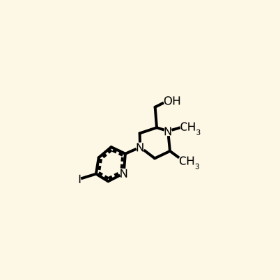 CC1CN(c2ccc(I)cn2)CC(CO)N1C